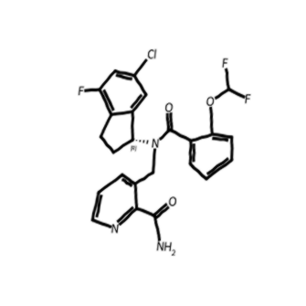 NC(=O)c1ncccc1CN(C(=O)c1ccccc1OC(F)F)[C@@H]1CCc2c(F)cc(Cl)cc21